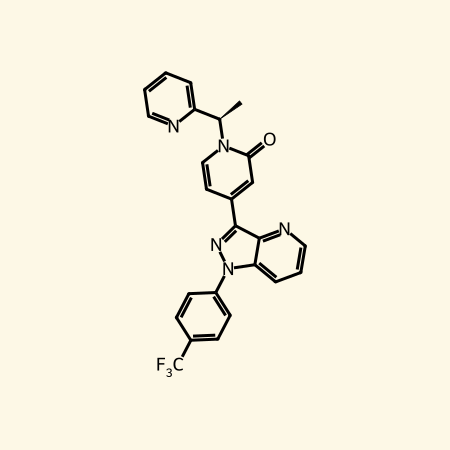 C[C@H](c1ccccn1)n1ccc(-c2nn(-c3ccc(C(F)(F)F)cc3)c3cccnc23)cc1=O